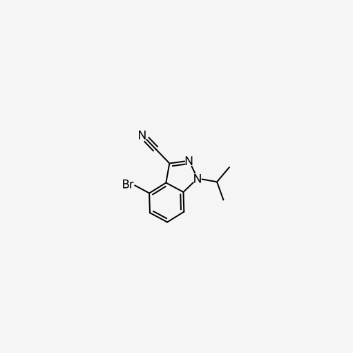 CC(C)n1nc(C#N)c2c(Br)cccc21